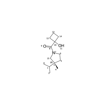 CC(C)[C@@]1(C)CCN(C(=O)C2(O)CCC2)C1